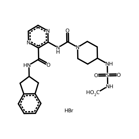 Br.O=C(O)NS(=O)(=O)NC1CCN(C(=O)Nc2nccnc2C(=O)NC2Cc3ccccc3C2)CC1